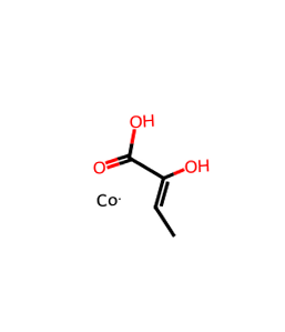 CC=C(O)C(=O)O.[Co]